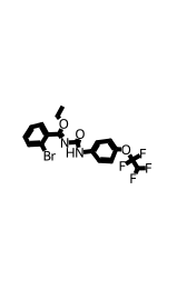 CCOC(=NC(=O)Nc1ccc(OC(F)(F)C(F)F)cc1)c1ccccc1Br